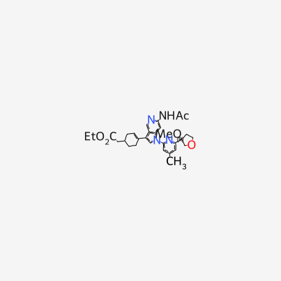 CCOC(=O)CC1CC=C(c2cn(-c3cc(C)cc([C@]4(OC)CCOC4)n3)c3cc(NC(C)=O)ncc23)CC1